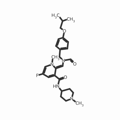 CC(C)COc1ccc(CN(C=O)/C=C2/C(C(=O)NC3CCN(C)CC3)=CC(F)=CN2C)cc1